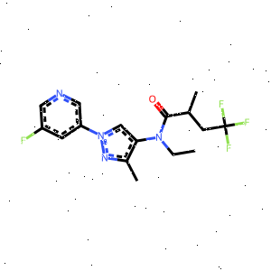 CCN(C(=O)C(C)CC(F)(F)F)c1cn(-c2cncc(F)c2)nc1C